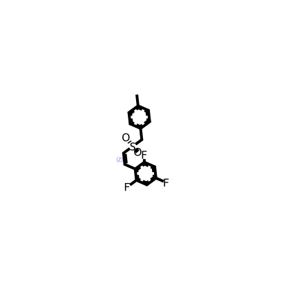 Cc1ccc(CS(=O)(=O)/C=C\c2c(F)cc(F)cc2F)cc1